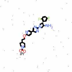 CC(C)OC(=O)N1CCC(CCOc2ccc(-c3cnc(N4C[C@H](c5cc(F)ccc5F)[C@@H](N)C4)nc3)cn2)CC1